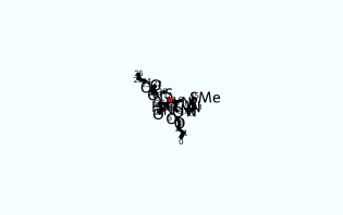 C=CCOC(=O)OC1C(Cn2nnnc2SC)=C2SCN(OC(=O)OCC=C)[C@@H]3C(=O)N1[C@H]23